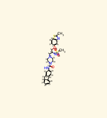 Cc1nc2cc(OCC(CN3CCN(C(=O)Nc4ccc5c(c4)Cc4ccccc4-5)CC3)NS(C)(=O)=O)ccc2s1